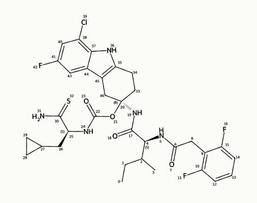 CCC(C)[C@H](NC(=O)Cc1c(F)cccc1F)C(=O)N[C@@]1(OC(=O)N[C@@H](CC2CC2)C(N)=S)CCc2[nH]c3c(Cl)cc(F)cc3c2C1